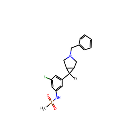 CCC1(c2cc(F)cc(NS(C)(=O)=O)c2)C2CN(Cc3ccccc3)CC21